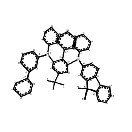 CC(C)(C)c1cc(N(c2ccccc2)c2cccc(-c3ccccc3)c2)c(-c2ccccc2)c(N(c2ccccc2)c2ccc3c(c2)C(C)(C)c2ccccc2-3)c1